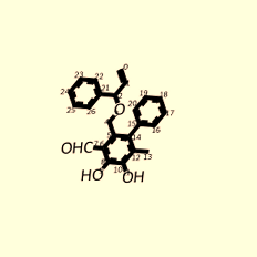 C=CC(OCc1c(C=O)c(O)c(O)c(C)c1-c1ccccc1)c1ccccc1